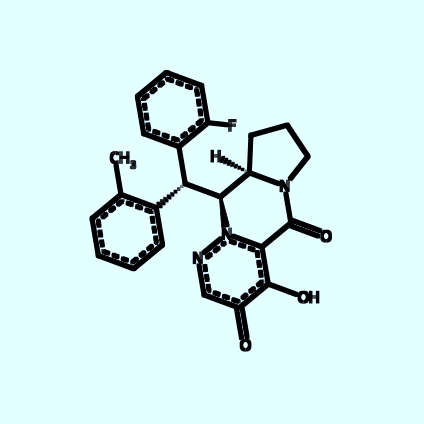 Cc1ccccc1[C@H](c1ccccc1F)[C@H]1[C@H]2CCCN2C(=O)c2c(O)c(=O)cnn21